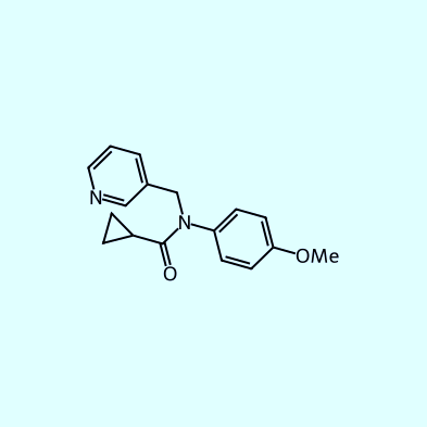 COc1ccc(N(Cc2cccnc2)C(=O)C2CC2)cc1